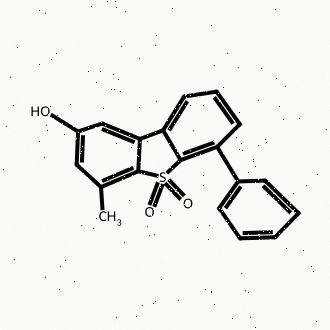 Cc1cc(O)cc2c1S(=O)(=O)c1c(-c3ccccc3)cccc1-2